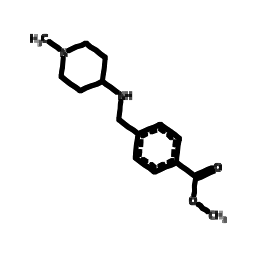 COC(=O)c1ccc(CNC2CCN(C)CC2)cc1